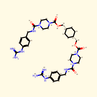 N=C(N)Nc1ccc(CNC(=O)N2CCN(C(=O)OC[C@H]3CC[C@@H](COC(=O)N4CCN(C(=O)NCc5ccc(NC(=N)N)cc5)CC4)CC3)CC2)cc1